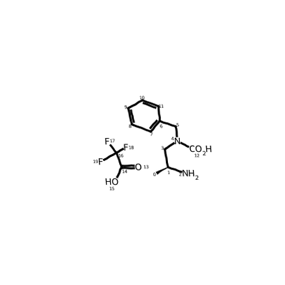 C[C@H](N)CN(Cc1ccccc1)C(=O)O.O=C(O)C(F)(F)F